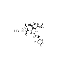 CCCCC(C(=O)O)c1cc(C(C)Sc2ccccn2)cc(N2C(=O)CC(S(=O)(=O)O)C2=O)c1C(N)=O